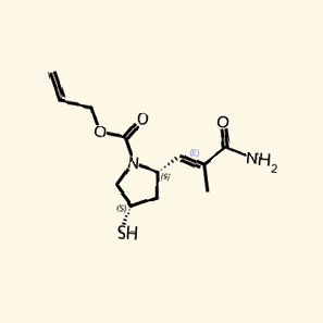 C=CCOC(=O)N1C[C@@H](S)C[C@H]1/C=C(\C)C(N)=O